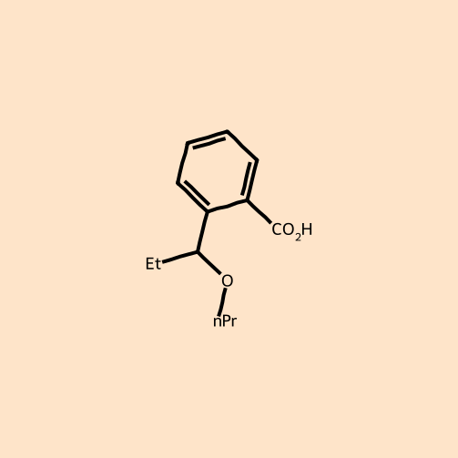 CCCOC(CC)c1ccccc1C(=O)O